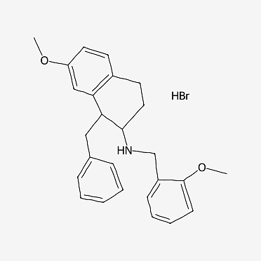 Br.COc1ccc2c(c1)C(Cc1ccccc1)C(NCc1ccccc1OC)CC2